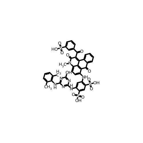 Cc1cccc(C)c1Nc1nc(O)nc(Nc2cc(Nc3ccc4c5c3C(=O)c3ccccc3-c5c(C(=O)c3cccc(S(=O)(=O)O)c3)c(=O)n4C)c(S(=O)(=O)O)cc2S(=O)(=O)O)n1